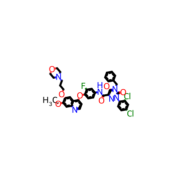 COc1cc2nccc(Oc3ccc(NC(=O)c4nn(-c5ccc(Cl)cc5Cl)c(=O)n(Cc5ccccc5)c4=O)cc3F)c2cc1OCCCN1CCOCC1